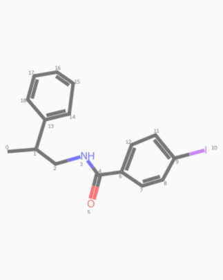 CC(CNC(=O)c1ccc(I)cc1)c1ccccc1